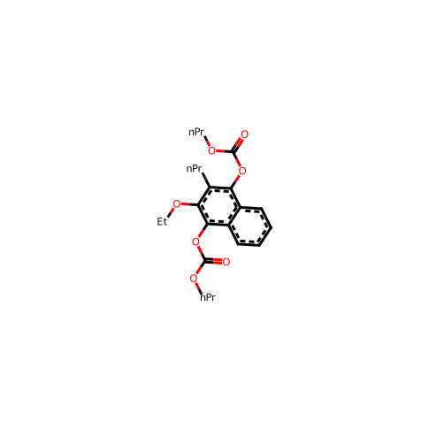 CCCOC(=O)Oc1c(CCC)c(OCC)c(OC(=O)OCCC)c2ccccc12